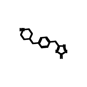 c1cc(CC2CCNCC2)ccc1Cc1nn[nH]n1